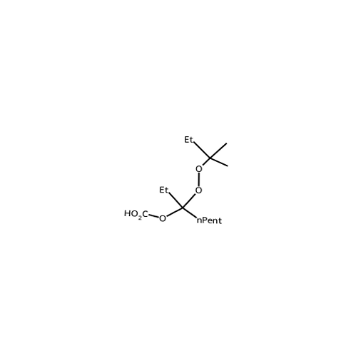 CCCCCC(CC)(OOC(C)(C)CC)OC(=O)O